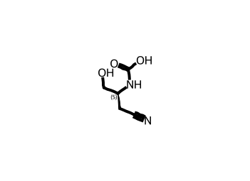 N#CC[C@@H](CO)NC(=O)O